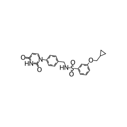 O=c1ccn(-c2ccc(CNS(=O)(=O)c3cccc(OCC4CC4)c3)cc2)c(=O)[nH]1